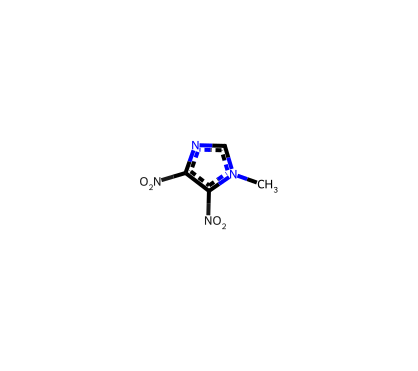 Cn1cnc([N+](=O)[O-])c1[N+](=O)[O-]